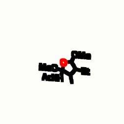 CCC1C(OC)OC(NC(C)=O)(OC)C1C